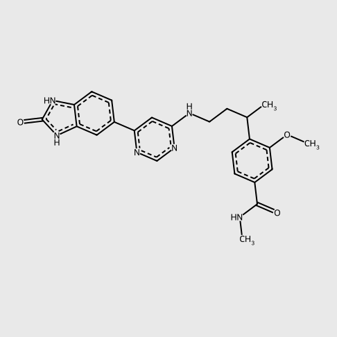 CNC(=O)c1ccc(C(C)CCNc2cc(-c3ccc4[nH]c(=O)[nH]c4c3)ncn2)c(OC)c1